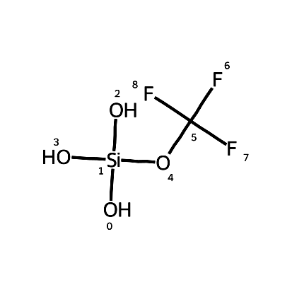 O[Si](O)(O)OC(F)(F)F